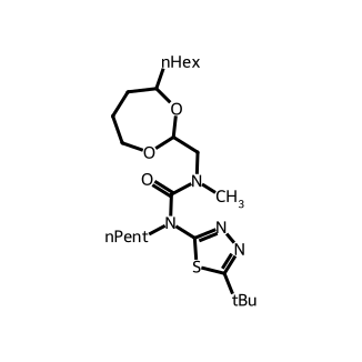 CCCCCCC1CCCOC(CN(C)C(=O)N(CCCCC)c2nnc(C(C)(C)C)s2)O1